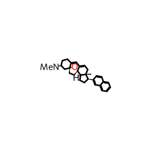 CN[C@H]1CCC2=CC3=CC[C@]4(C)[C@@H](c5ccc6ccccc6c5)CC[C@H]4[C@@]34CC[C@]2(C1)O4